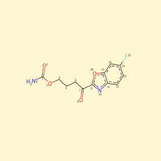 NC(=O)OCCCC(=O)c1nc2ccc(F)cc2o1